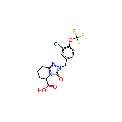 O=C(O)[C@H]1CCCc2nn(Cc3ccc(OC(F)(F)F)c(Cl)c3)c(=O)n21